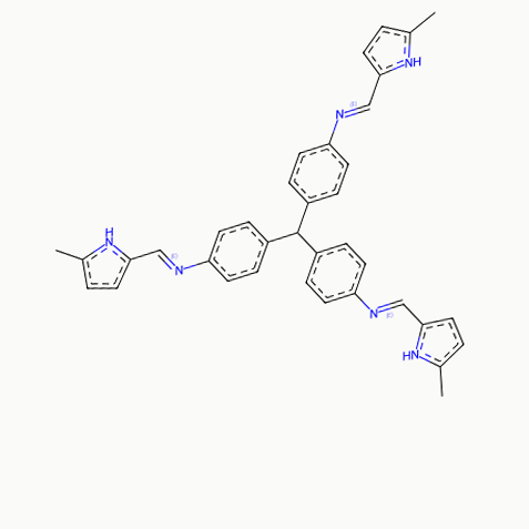 Cc1ccc(/C=N/c2ccc(C(c3ccc(/N=C/c4ccc(C)[nH]4)cc3)c3ccc(/N=C/c4ccc(C)[nH]4)cc3)cc2)[nH]1